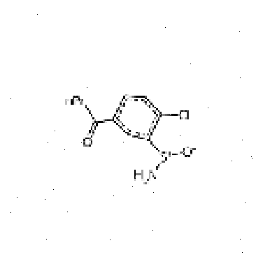 CCCC(=O)c1ccc(Cl)c([S+](N)[O-])c1